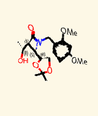 COc1ccc(CN2C(=O)[C@H]([C@@H](C)O)[C@H]2[C@@H]2COC(C)(C)O2)c(OC)c1